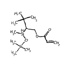 C=CC(=O)OCC([SiH](C)O[Si](C)(C)C)C(C)(C)C